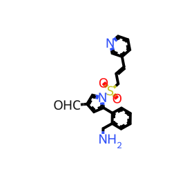 NCc1ccccc1-c1cc(C=O)cn1S(=O)(=O)CC=Cc1cccnc1